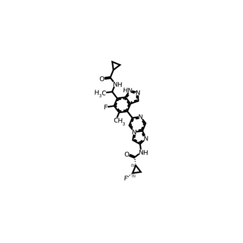 Cc1c(F)c(C(C)NC(=O)C2CC2)c2[nH]ncc2c1-c1cn2cc(NC(=O)[C@@H]3C[C@@H]3F)nc2cn1